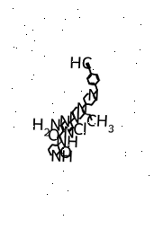 C#Cc1ccc(CN2CCC(N3CCN(c4nc(N)c(C(=O)N[C@@H]5CCCNC5=O)nc4Cl)C[C@@H]3CC)CC2)cc1